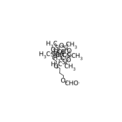 C[Si](C)(C)O[Si](C)(C)O[Si](C)(C)O[Si](C)(C)O[Si](C)(C)CCOCCCO[C]=O